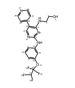 OCCNc1nc(Nc2cccc(OC(F)(F)C(F)F)c2)ncc1-c1ccncc1